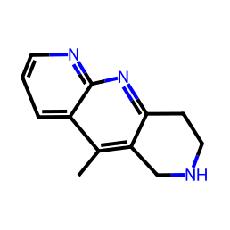 Cc1c2c(nc3ncccc13)CCNC2